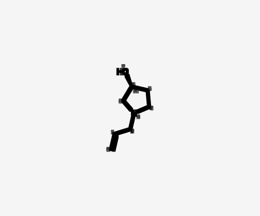 C=CCN1CC[C@H](O)C1